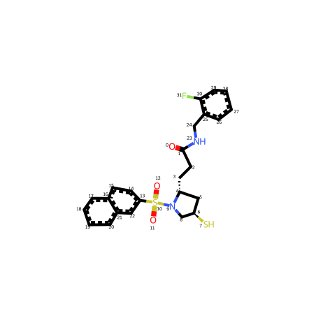 O=C(CC[C@@H]1C[C@@H](S)CN1S(=O)(=O)c1ccc2ccccc2c1)NCc1ccccc1F